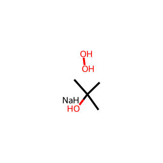 CC(C)(C)O.OO.[NaH]